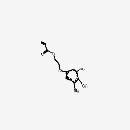 C=CC(=O)OCCOc1cc(C(C)(C)C)c(O)c(C(C)(C)C)c1